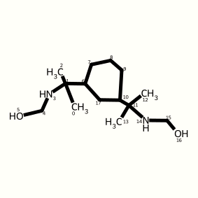 CC(C)(NCO)C1CCCC(C(C)(C)NCO)C1